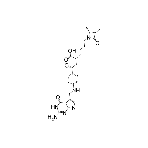 CC1C(=O)N(CCCC[C@H](CC(=O)c2ccc(NCC3=CN=C4N=C(N)NC(=O)C34)cc2)C(=O)O)[C@H]1C